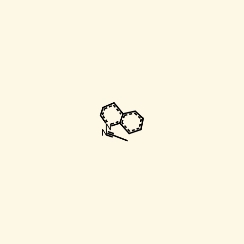 CC#N.c1ccc2ncccc2c1